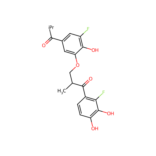 CC(C)C(=O)c1cc(F)c(O)c(OCC(C)C(=O)c2ccc(O)c(O)c2F)c1